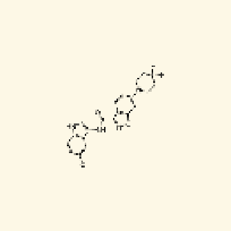 O=C(Nc1c[nH]c2ccc(Cl)cc12)c1noc2cc(N3CCC(F)(F)CC3)ccc12